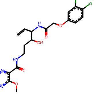 C=CC(NC(=O)COc1ccc(Cl)c(F)c1)C(O)CCNC(=O)c1nccnc1OC